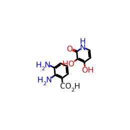 Nc1cccc(C(=O)O)c1N.O=c1[nH]ccc(O)c1O